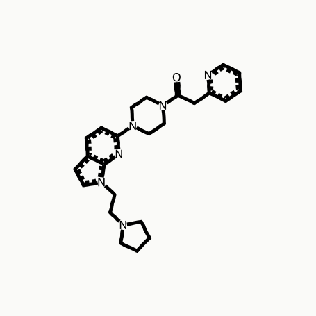 O=C(Cc1ccccn1)N1CCN(c2ccc3ccn(CCN4CCCC4)c3n2)CC1